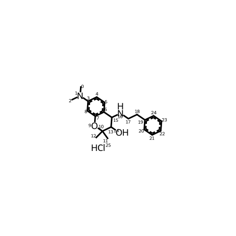 CN(C)c1ccc2c(c1)OC(C)(C)C(O)C2NCCc1ccccc1.Cl